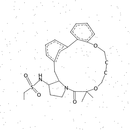 CCS(=O)(=O)NC1CCN2C(=O)C(C)(C)OCCCCOc3ccccc3-c3cccc(c3)CC12